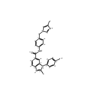 Cc1cn(Cc2ccc(NC(=O)c3ccc4nc(C)n(-c5ccc(F)cc5)c4c3)cc2)cn1